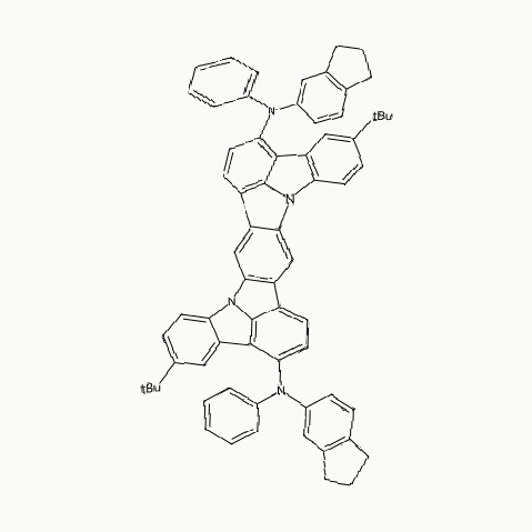 CC(C)(C)c1ccc2c(c1)c1c(N(c3ccccc3)c3ccc4c(c3)CCC4)ccc3c4cc5c(cc4n2c31)c1ccc(N(c2ccccc2)c2ccc3c(c2)CCC3)c2c3cc(C(C)(C)C)ccc3n5c12